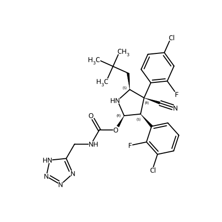 CC(C)(C)C[C@@H]1N[C@H](OC(=O)NCc2nnn[nH]2)[C@H](c2cccc(Cl)c2F)[C@@]1(C#N)c1ccc(Cl)cc1F